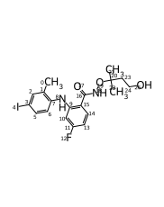 Cc1cc(I)ccc1Nc1cc(F)ccc1C(=O)NOC(C)(C)CCO